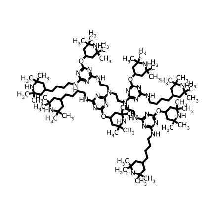 CC1(C)CC(CCCCNc2nc(NCCN(CCN(CCNc3nc(NCCCCC4CC(C)(C)NC(C)(C)C4)nc(OC4CC(C)(C)NC(C)(C)C4)n3)c3nc(NCCCCC4CC(C)(C)NC(C)(C)C4)nc(OC4CC(C)(C)NC(C)(C)C4)n3)c3nc(NCCCCC4CC(C)(C)NC(C)(C)C4)nc(OC4CC(C)(C)NC(C)(C)C4)n3)nc(OC3CC(C)(C)NC(C)(C)C3)n2)CC(C)(C)N1